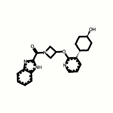 O=C(c1nc2ccccc2[nH]1)N1CC(Oc2ncccc2[C@H]2CC[C@H](O)CC2)C1